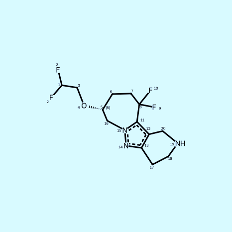 FC(F)CO[C@@H]1CCC(F)(F)c2c3c(nn2C1)CCNC3